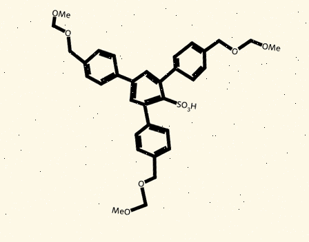 COCOCc1ccc(-c2cc(-c3ccc(COCOC)cc3)c(S(=O)(=O)O)c(-c3ccc(COCOC)cc3)c2)cc1